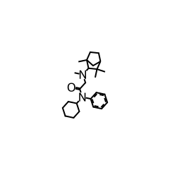 CN(CC(=O)N(c1ccccc1)C1CCCCC1)C1C2(C)CCC(C2)C1(C)C